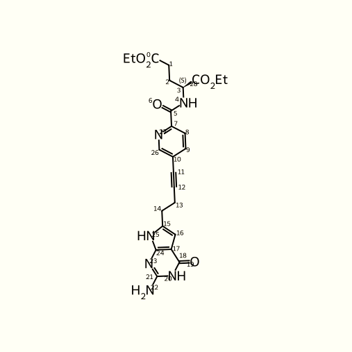 CCOC(=O)CC[C@H](NC(=O)c1ccc(C#CCCc2cc3c(=O)[nH]c(N)nc3[nH]2)cn1)C(=O)OCC